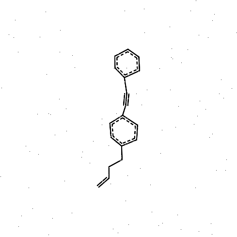 C=CCCc1ccc(C#Cc2ccccc2)cc1